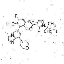 Cc1c(F)cc(NC(=O)c2cnn(C(C)(C)C)c2F)c(F)c1-c1cc(N2CCOCC2)c2nccn2c1